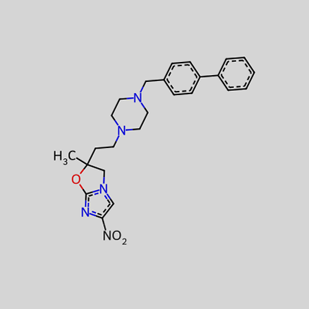 CC1(CCN2CCN(Cc3ccc(-c4ccccc4)cc3)CC2)Cn2cc([N+](=O)[O-])nc2O1